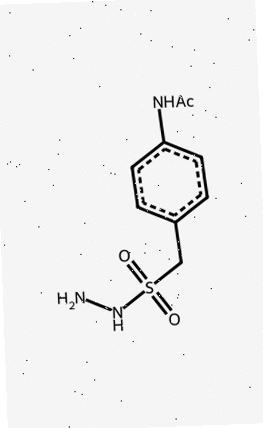 CC(=O)Nc1ccc(CS(=O)(=O)NN)cc1